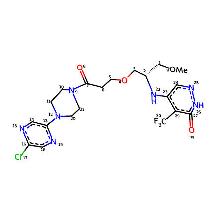 COC[C@@H](COCCC(=O)N1CCN(c2cnc(Cl)cn2)CC1)Nc1cn[nH]c(=O)c1C(F)(F)F